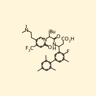 CCC(C)C(C(=O)NC(CC(=O)O)c1cc(-c2c(C)cc(C)cc2C)cc(C)c1F)n1cc(CCN(C)C)c(C(F)(F)F)cc1=O